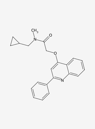 CN(CC1CC1)C(=O)COc1cc(-c2ccccc2)nc2ccccc12